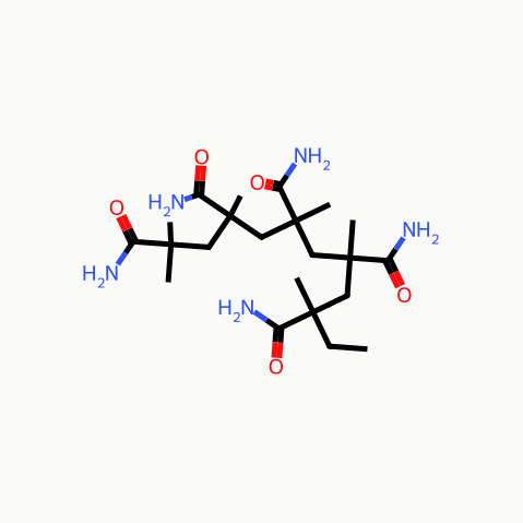 CCC(C)(CC(C)(CC(C)(CC(C)(CC(C)(C)C(N)=O)C(N)=O)C(N)=O)C(N)=O)C(N)=O